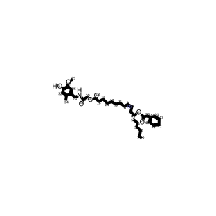 CCCCCC[C@H](C/C=C\CCCCCCCC(=O)OCC(=O)NCc1cc(OC)c(O)cc1C)OC(=O)Cc1ccccc1